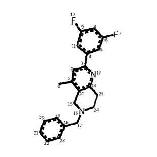 Cc1cc(-c2cc(F)cc(F)c2)nc2c1CN(Cc1ccccc1)CC2